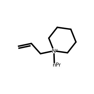 C=CC[N+]1(CCC)CCCCC1